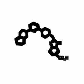 O=C(O)c1ccc2nc(CN3CCC(c4cccc(C5CCc6ccccc6C5)n4)CC3)[nH]c2c1